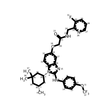 C[C@H]1C[C@@H](n2c(Nc3ccc(OC(F)(F)F)cc3)nc3cc(OCC(=O)NCc4ncccc4F)ccc32)CC(C)(C)C1